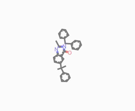 Cc1nc2ccc(C(C)(C)c3ccccc3)cc2c(=O)n1C(c1ccccc1)c1ccccc1